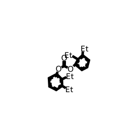 CCc1cccc(OC(=O)Oc2cccc(CC)c2CC)c1CC